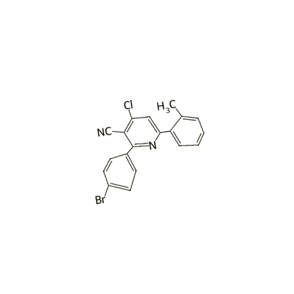 Cc1ccccc1-c1cc(Cl)c(C#N)c(-c2ccc(Br)cc2)n1